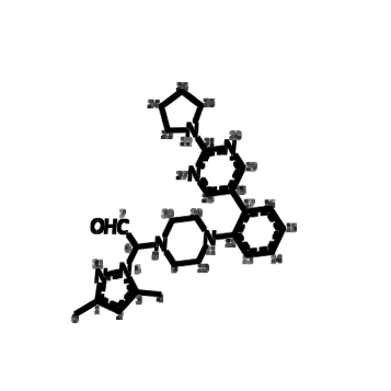 Cc1cc(C)n(C(C=O)N2CCN(c3ccccc3-c3cnc(N4CCCC4)nc3)CC2)n1